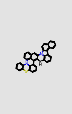 B1c2c(cc3ccccc3c2-c2cccc3c2Nc2ccccc2S3)-n2c3ccc4ccccc4c3c3cccc1c32